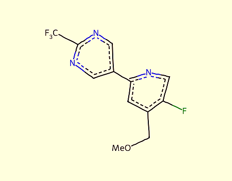 COCc1cc(-c2cnc(C(F)(F)F)nc2)ncc1F